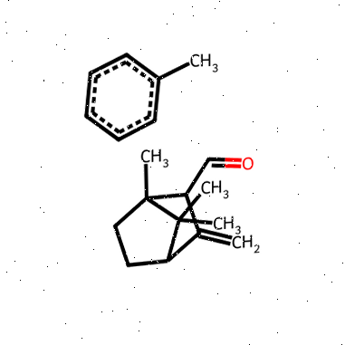 C=C1C2CCC(C)(C1C=O)C2(C)C.Cc1ccccc1